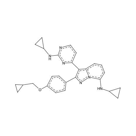 c1cc(NC2CC2)n2nc(-c3ccc(OCC4CC4)cc3)c(-c3ccnc(NC4CC4)n3)c2c1